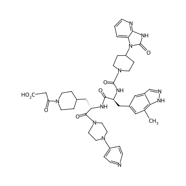 Cc1cc(C[C@H](NC(=O)N2CCC(n3c(=O)[nH]c4ncccc43)CC2)C(=O)N[C@@H](CC2CCN(C(=O)CC(=O)O)CC2)C(=O)N2CCN(c3ccncc3)CC2)cc2cn[nH]c12